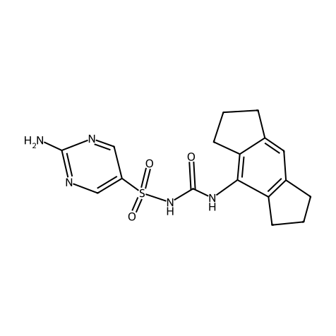 Nc1ncc(S(=O)(=O)NC(=O)Nc2c3c(cc4c2CCC4)CCC3)cn1